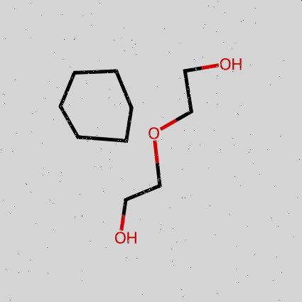 C1CCCCC1.OCCOCCO